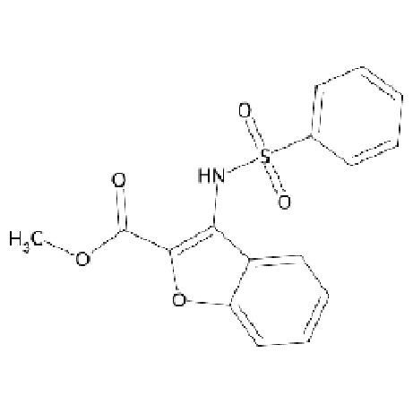 COC(=O)c1oc2ccccc2c1NS(=O)(=O)c1ccccc1